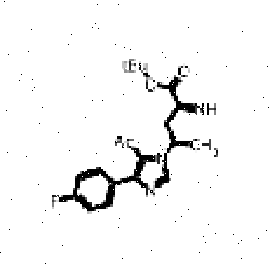 CC(=O)c1c(-c2ccc(F)cc2)ncn1C(C)CC(=N)C(=O)OC(C)(C)C